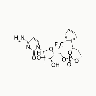 C[C@@]1(O)[C@H](O)[C@@H](COP2(=O)OCCC(c3ccccc3C(F)(F)F)O2)O[C@H]1n1ccc(N)nc1=O